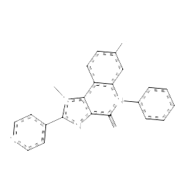 Cn1c(-c2ccncc2)nc2c(=O)n(-c3ccccc3)c3cc(Cl)ccc3c21